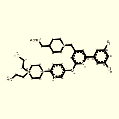 CC(=O)NCC1CCN(Cc2cc(Oc3ccc(N4CC[N+](CCO)(CCO)CC4)nc3)nc(-c3cc(Cl)cc(Cl)c3)c2)CC1